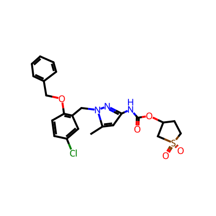 Cc1cc(NC(=O)OC2CCS(=O)(=O)C2)nn1Cc1cc(Cl)ccc1OCc1ccccc1